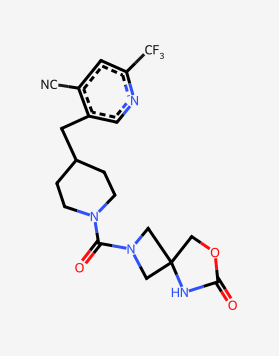 N#Cc1cc(C(F)(F)F)ncc1CC1CCN(C(=O)N2CC3(COC(=O)N3)C2)CC1